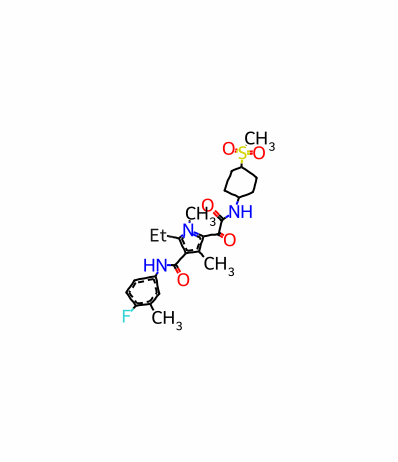 CCc1c(C(=O)Nc2ccc(F)c(C)c2)c(C)c(C(=O)C(=O)NC2CCC(S(C)(=O)=O)CC2)n1C